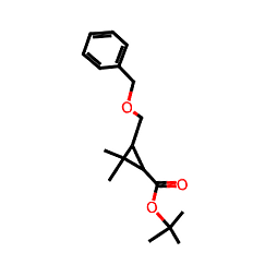 CC(C)(C)OC(=O)C1C(COCc2ccccc2)C1(C)C